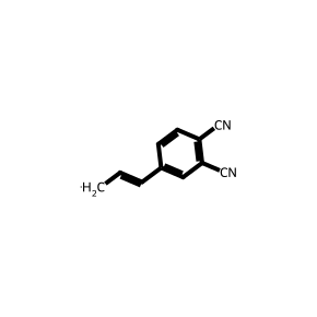 [CH2]C=Cc1ccc(C#N)c(C#N)c1